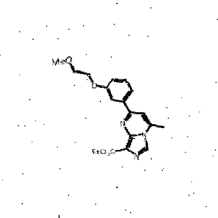 CCOC(=O)c1ncn2c(C)cc(-c3cccc(OCCOC)c3)nc12